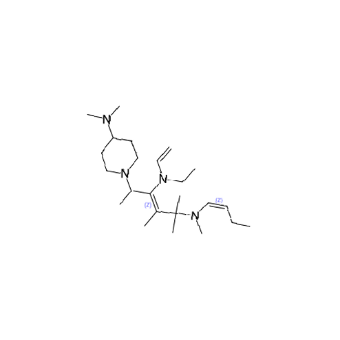 C=CN(CC)/C(=C(/C)C(C)(C)N(C)/C=C\CC)C(C)N1CCC(N(C)C)CC1